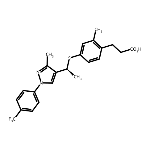 Cc1cc(S[C@@H](C)c2cn(-c3ccc(C(F)(F)F)cc3)nc2C)ccc1CCC(=O)O